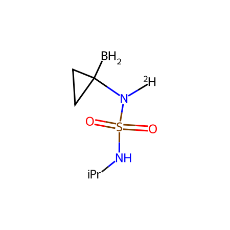 [2H]N(C1(B)CC1)S(=O)(=O)NC(C)C